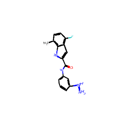 Cc1ccc(F)c2cc(C(=O)Nc3cccc(NN)c3)[nH]c12